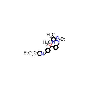 CCOC(=O)C1CCN(Cc2ccc(C(=O)c3cccc(Cn4c(CC)nc5c(C)cc(C)nc54)c3)cc2)CC1